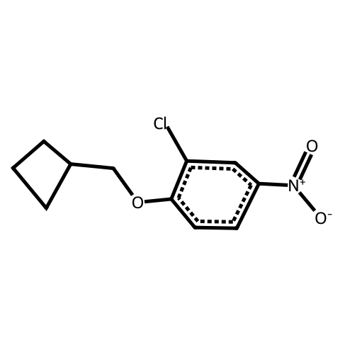 O=[N+]([O-])c1ccc(OCC2CCC2)c(Cl)c1